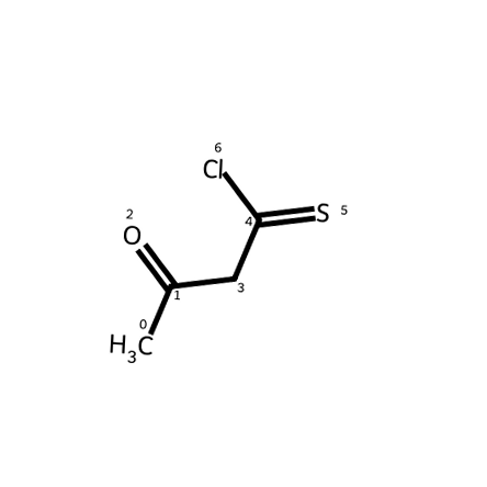 CC(=O)CC(=S)Cl